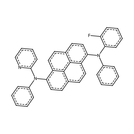 Fc1ccccc1N(c1ccccc1)c1ccc2ccc3c(N(c4ccccc4)c4ccccn4)ccc4ccc1c2c43